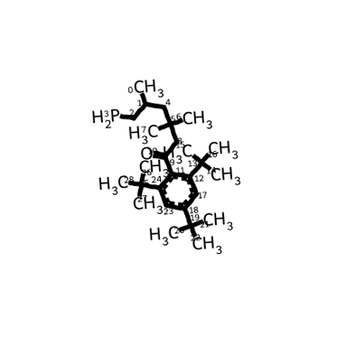 CC(CP)CC(C)(C)CC(=O)c1c(C(C)(C)C)cc(C(C)(C)C)cc1C(C)(C)C